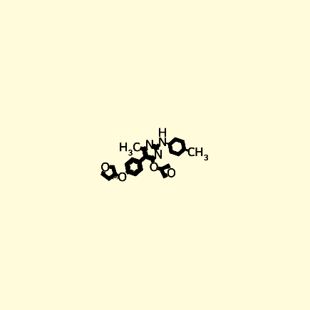 Cc1nc(N[C@H]2CC[C@H](C)CC2)nc(OC2COC2)c1-c1ccc(O[C@H]2CCOC2)cc1